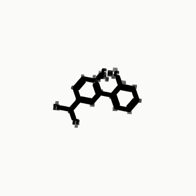 CCC(CC)c1cc[n+](C)c(-c2ccccc2C)c1